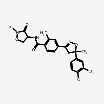 CCN1OCC(NC(=O)c2ccc(C3=NOC(c4ccc(Cl)c(C(F)(F)F)c4)(C(F)(F)F)C3)cc2C)C1=O